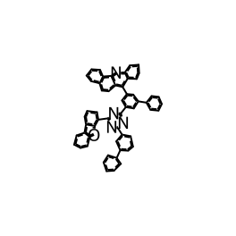 c1ccc(-c2cccc(-c3nc(-c4cc(-c5ccccc5)cc(-c5c6ccccc6nc6c5ccc5ccccc56)c4)nc(-c4cccc5c4oc4ccccc45)n3)c2)cc1